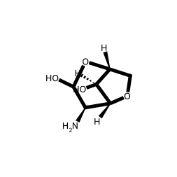 N[C@H]1C(O)O[C@@H]2CO[C@H]1[C@H]2O